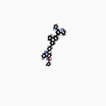 c1ccc(-c2nc3c(ccc4c(-c5ccc(-c6ccc7c8ccc(-c9cc(-c%10ccccn%10)cc(-c%10ccccn%10)c9)cc8c8ccccc8c7c6)cc5)nc5ccccc5c43)o2)cc1